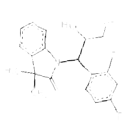 CC1(C)C(=O)N(C(c2ccc(F)cc2F)C(O)CO)c2ccccc21